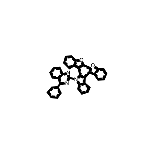 c1ccc(-c2nc(-n3c4ccccc4c4c5c6ccccc6oc5c5oc6ccccc6c5c43)nc3ccccc23)cc1